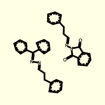 C(CCc1ccccc1)=NN=C(c1ccccc1)c1ccccc1.O=C1c2ccccc2C(=O)N1N=CCCc1ccccc1